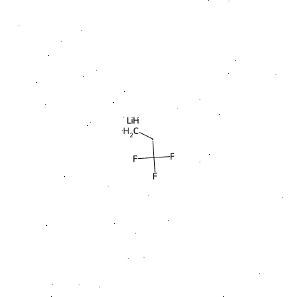 [CH2]CC(F)(F)F.[LiH]